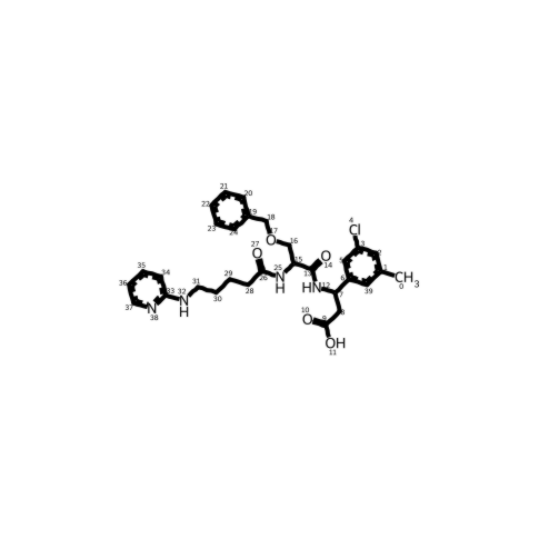 Cc1cc(Cl)cc(C(CC(=O)O)NC(=O)C(COCc2ccccc2)NC(=O)CCCCNc2ccccn2)c1